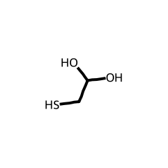 OC(O)CS